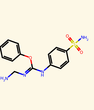 NC/N=C(/Nc1ccc(S(N)(=O)=O)cc1)Oc1ccccc1